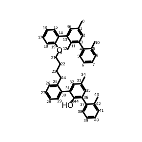 Cc1cc(-c2ccccc2C)c(C)c(-c2ccccc2OCCCCc2ccccc2-c2cc(C)cc(-c3ccccc3C)c2O)c1